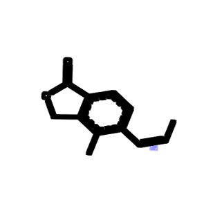 C/C=C\c1ccc2c(c1C)COC2=O